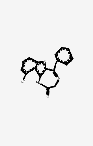 O=C1CN=C(c2ccccc2)c2[nH]c3cccc(Cl)c3c2N1